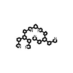 c1cncc(-c2cccc(-c3cc(-c4cccc(-c5cccnc5)c4)cc(-c4cccc(-c5ccc(-c6cccc(-c7ccc(-c8cccc(-c9cc(-c%10cccc(-c%11cccnc%11)c%10)cc(-c%10cccc(-c%11cccnc%11)c%10)c9)c8)cn7)c6)nc5)c4)c3)c2)c1